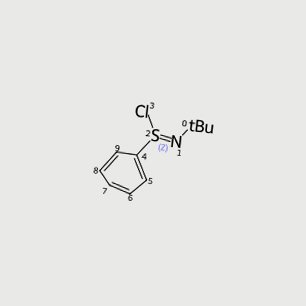 CC(C)(C)/N=S(\Cl)c1ccccc1